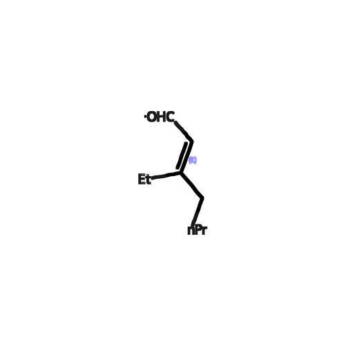 CCCC/C(=C/[C]=O)CC